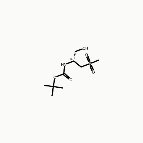 CC(C)(C)OC(=O)N[C@H](CO)CS(C)(=O)=O